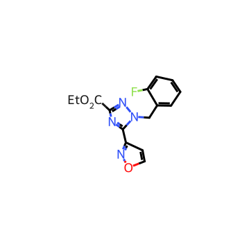 CCOC(=O)c1nc(-c2ccon2)n(Cc2ccccc2F)n1